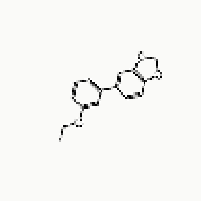 CCOc1c[c]cc(-c2ccc3c(c2)OCO3)c1